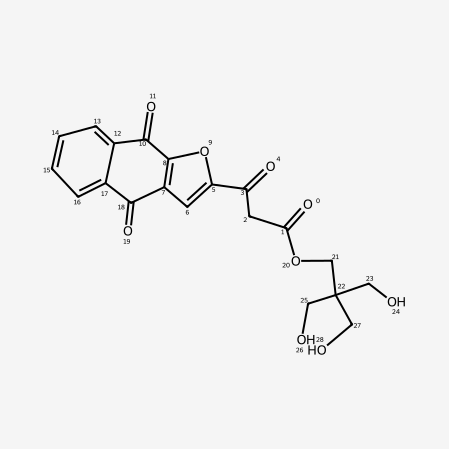 O=C(CC(=O)c1cc2c(o1)C(=O)c1ccccc1C2=O)OCC(CO)(CO)CO